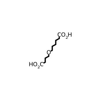 O=C(O)CCCCCOCCCC(=O)O